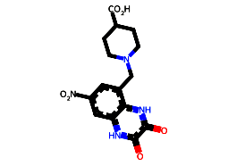 O=C(O)C1CCN(Cc2cc([N+](=O)[O-])cc3[nH]c(=O)c(=O)[nH]c23)CC1